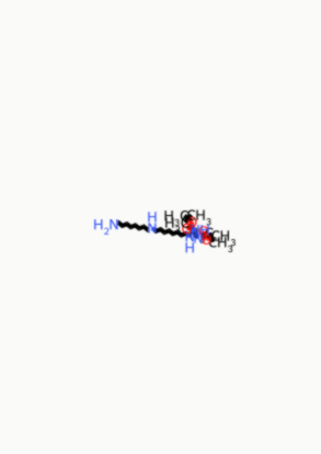 CC(C)(C)OC(=O)N=C(NCCCCCCCCNCCCCCCCCN)NC(=O)OC(C)(C)C